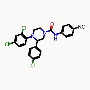 [C-]#[N+]c1ccc(NC(=O)N2CCN(c3ccc(Cl)cc3Cl)C(c3ccc(Cl)cc3)C2)cc1